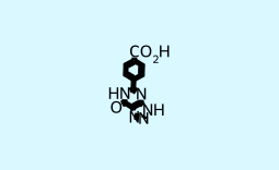 O=C(O)c1ccc(-c2nc3[nH]nnc3c(=O)[nH]2)cc1